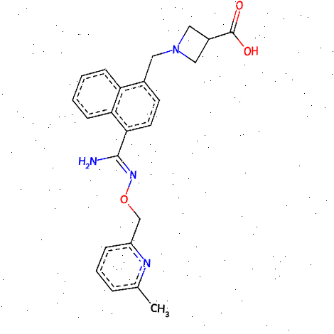 Cc1cccc(CO/N=C(\N)c2ccc(CN3CC(C(=O)O)C3)c3ccccc23)n1